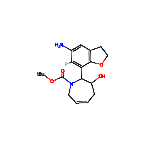 CC(C)(C)OC(=O)N1CC=CCC(O)C1c1c(F)c(N)cc2c1OCC2